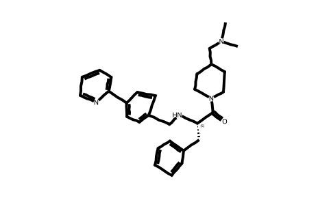 CN(C)CC1CCN(C(=O)[C@H](Cc2ccccc2)NCc2ccc(-c3ccccn3)cc2)CC1